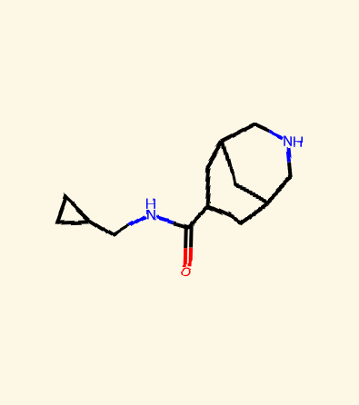 O=C(NCC1CC1)C1CC2CNCC(C2)C1